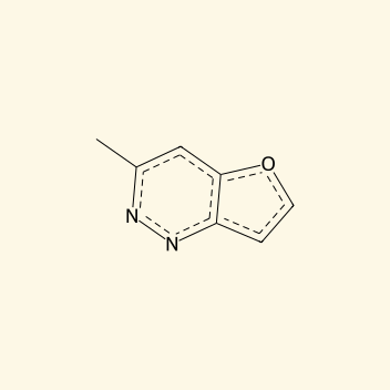 Cc1cc2occc2nn1